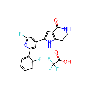 O=C(O)C(F)(F)F.O=C1NCCc2[nH]c(-c3cc(F)nc(-c4ccccc4F)c3)cc21